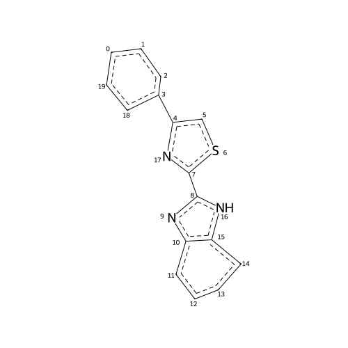 c1ccc(-c2csc(-c3nc4ccccc4[nH]3)n2)cc1